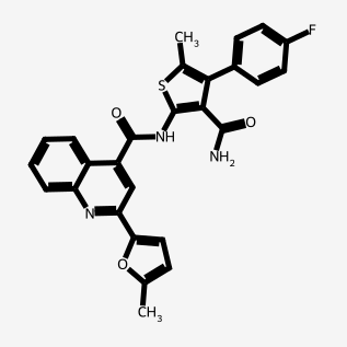 Cc1ccc(-c2cc(C(=O)Nc3sc(C)c(-c4ccc(F)cc4)c3C(N)=O)c3ccccc3n2)o1